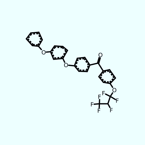 O=C(c1ccc(Oc2cccc(Oc3ccccc3)c2)cc1)c1ccc(OC(F)(F)C(F)C(F)(F)F)cc1